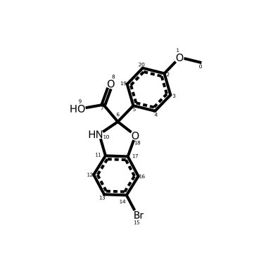 COc1ccc(C2(C(=O)O)Nc3ccc(Br)cc3O2)cc1